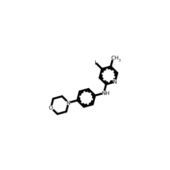 Cc1cnc(Nc2ccc(N3CCOCC3)cc2)cc1I